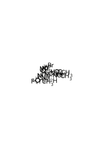 CCc1ccc(F)cc1/N=C(\N)c1cnn2cc(Br)cc2c1N[C@@H]1CC[C@H](NC(=O)OC(C)(C)C)C1